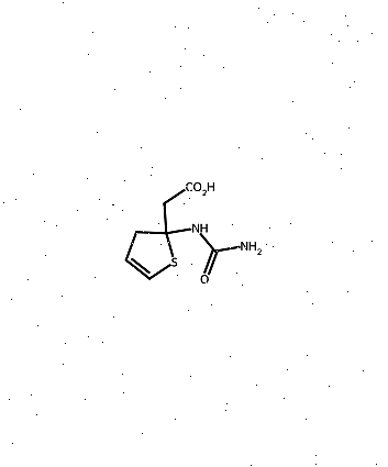 NC(=O)NC1(CC(=O)O)CC=CS1